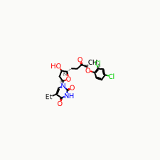 CCc1cn([C@@H]2CC(O)[C@H](CCC(=O)[C@H](C)Oc3ccc(Cl)cc3Cl)O2)c(=O)[nH]c1=O